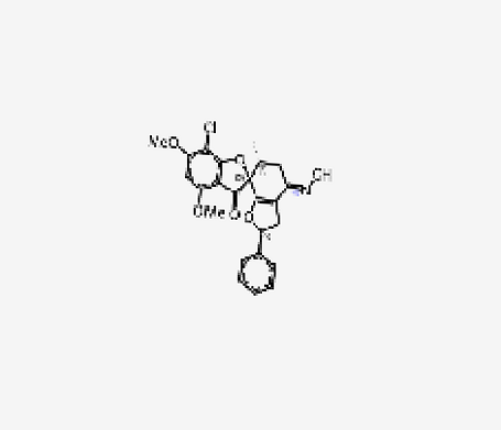 COc1cc(OC)c2c(c1Cl)O[C@]1(C2=O)C2=C(C[C@@H](c3ccccc3)O2)/C(=N/O)C[C@H]1C